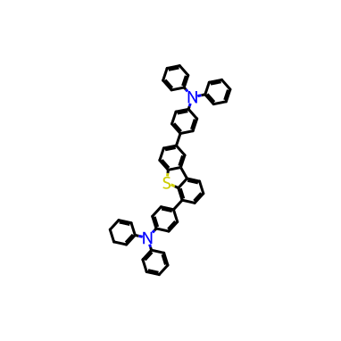 C1=CC(N(c2ccccc2)c2ccc(-c3cccc4c3sc3ccc(-c5ccc(N(c6ccccc6)c6ccccc6)cc5)cc34)cc2)=CCC1